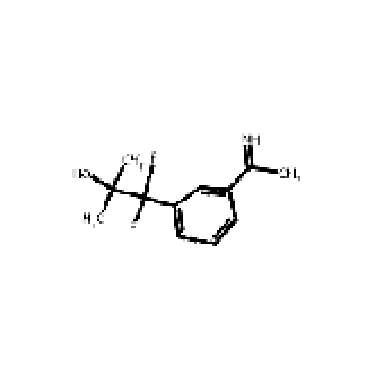 CC(=N)c1cccc(C(F)(F)C(C)(C)O)c1